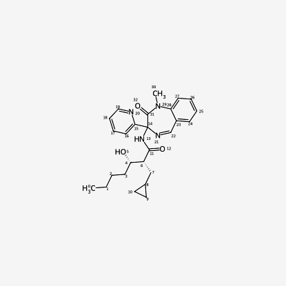 CCCC[C@H](O)[C@@H](CC1CC1)C(=O)NC1(c2ccccn2)N=Cc2ccccc2N(C)C1=O